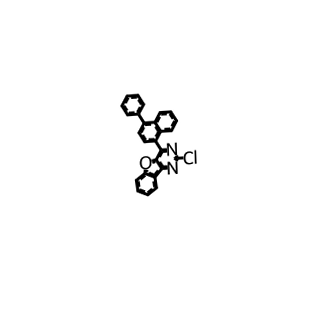 Clc1nc(-c2ccc(-c3ccccc3)c3ccccc23)c2oc3ccccc3c2n1